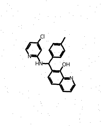 Cc1ccc(C(Nc2cc(Cl)ccn2)c2ccc3cccnc3c2O)cc1